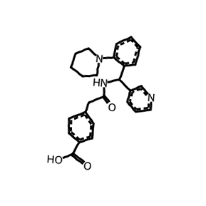 O=C(Cc1ccc(C(=O)O)cc1)NC(c1cccnc1)c1ccccc1N1CCCCC1